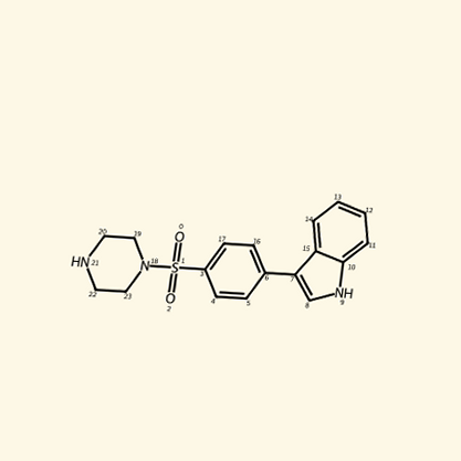 O=S(=O)(c1ccc(-c2c[nH]c3ccccc23)cc1)N1CCNCC1